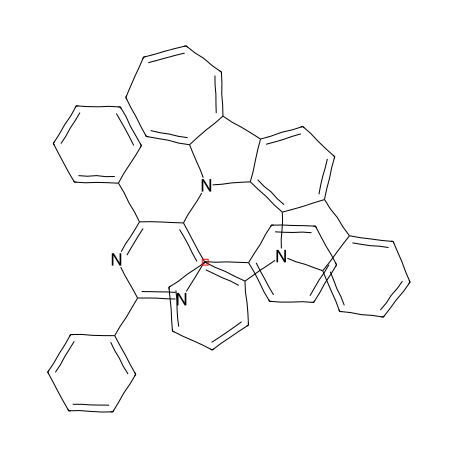 C1=CCC=c2c(c3ccc4c5ccccc5n(-c5ccccc5)c4c3n2-c2c(-c3ccccc3)nc(-c3ccccc3)nc2-c2ccccc2)=C1